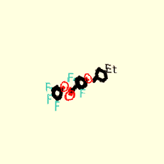 CCC1CCC(COc2cc(F)c(C(=O)Oc3cc(F)c(F)c(F)c3)c(F)c2)CC1